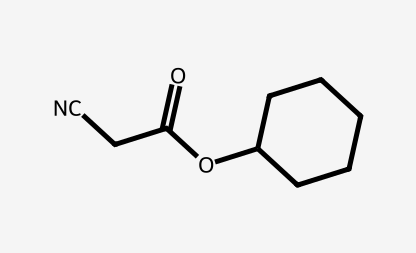 N#CCC(=O)OC1CCCCC1